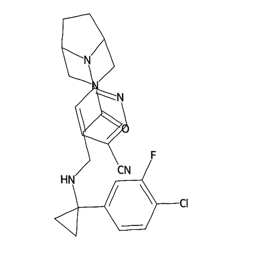 N#Cc1ccc(N2C3CCC2CN(C(=O)CCNC2(c4ccc(Cl)c(F)c4)CC2)C3)nc1